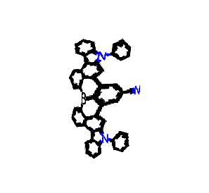 N#Cc1cc2c3c(c1)-c1cc4c(c5cccc(c15)B3c1cccc3c1c-2cc1c3c2ccccc2n1-c1ccccc1)c1ccccc1n4-c1ccccc1